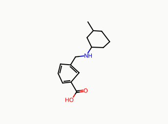 CC1CCCC(NCc2cccc(C(=O)O)c2)C1